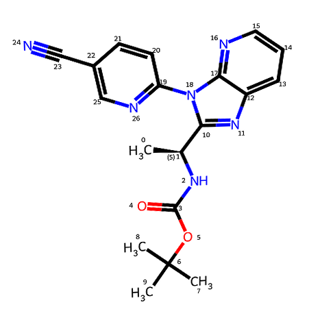 C[C@H](NC(=O)OC(C)(C)C)c1nc2cccnc2n1-c1ccc(C#N)cn1